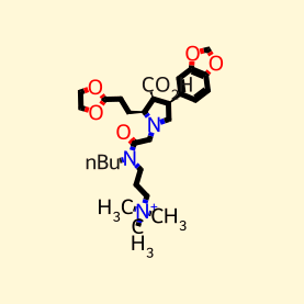 CCCCN(CCC[N+](C)(C)C)C(=O)CN1C[C@H](c2ccc3c(c2)OCO3)[C@@H](C(=O)O)[C@@H]1CCC1OCCO1